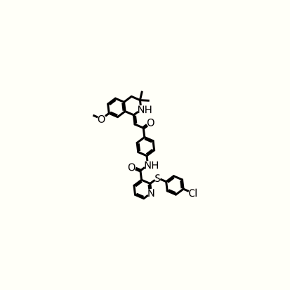 COc1ccc2c(c1)C(=CC(=O)c1ccc(NC(=O)c3cccnc3Sc3ccc(Cl)cc3)cc1)NC(C)(C)C2